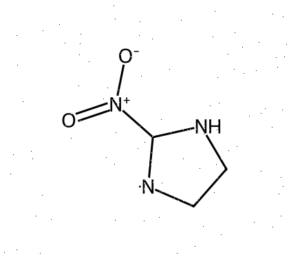 O=[N+]([O-])C1[N]CCN1